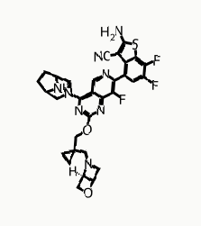 N#Cc1c(N)sc2c(F)c(F)cc(-c3ncc4c(N5CC6CCC(C5)N6)nc(OCC5(CN6CC7OC[C@H]76)CC5)nc4c3F)c12